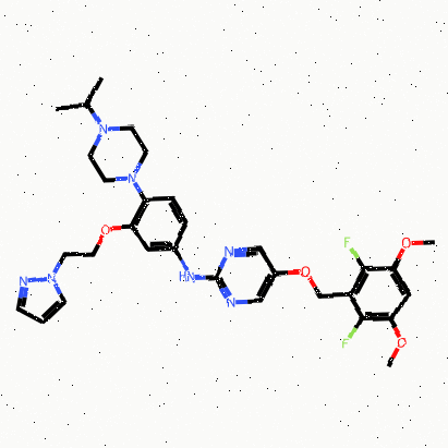 COc1cc(OC)c(F)c(COc2cnc(Nc3ccc(N4CCN(C(C)C)CC4)c(OCCn4cccn4)c3)nc2)c1F